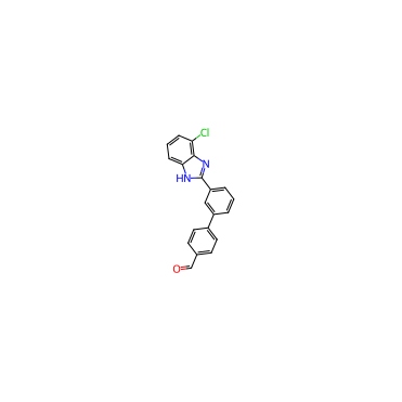 O=Cc1ccc(-c2cccc(-c3nc4c(Cl)cccc4[nH]3)c2)cc1